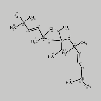 CC[Si](CC)(O[Si](C)(C)C=CC[SiH](C)C)O[Si](C)(C)C=C[Si](C)(C)C